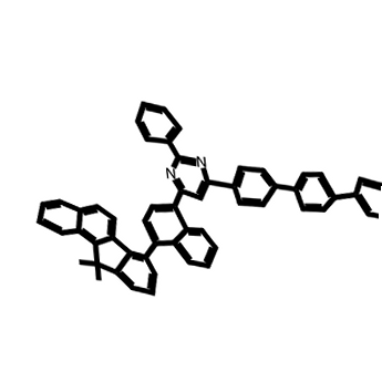 CC1(C)c2cccc(-c3ccc(-c4cc(-c5ccc(-c6ccc(-c7ccccc7)cc6)cc5)nc(-c5ccccc5)n4)c4ccccc34)c2-c2ccc3ccccc3c21